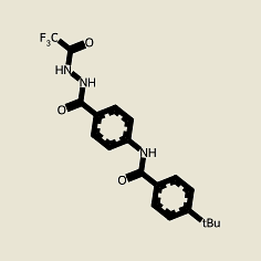 CC(C)(C)c1ccc(C(=O)Nc2ccc(C(=O)NNC(=O)C(F)(F)F)cc2)cc1